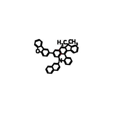 CC1(C)c2ccccc2-c2c(-c3ccccc3N(c3cccc(-c4ccc5oc6ccccc6c5c4)c3)c3ccc4ccccc4c3)cccc21